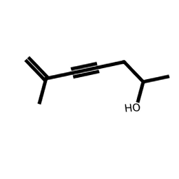 C=C(C)C#CCC(C)O